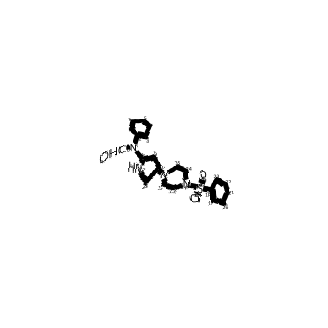 O=CN(c1ccccc1)C1CC(N2CCN(S(=O)(=O)c3ccccc3)CC2)CN1